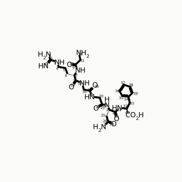 N=C(N)NCCC[C@H](NC(=O)CN)C(=O)NCC(=O)NCC(=O)N[C@@H](CC(N)=O)C(=O)N[C@@H](Cc1ccccc1)C(=O)O